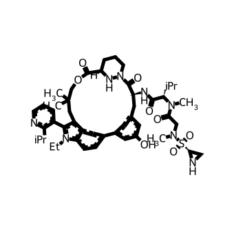 CCn1c(-c2cccnc2C(C)C)c2c3cc(ccc31)-c1cc(O)cc(c1)C[C@H](NC(=O)[C@H](C(C)C)N(C)C(=O)CN(C)S(=O)(=O)[C@@H]1CN1)C(=O)N1CCC[C@H](N1)C(=O)OCC(C)(C)C2